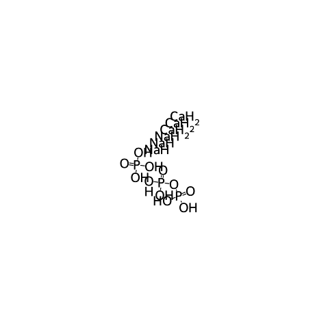 O=P(O)(O)O.O=P(O)(O)OP(=O)(O)O.[CaH2].[CaH2].[CaH2].[NaH].[NaH].[NaH]